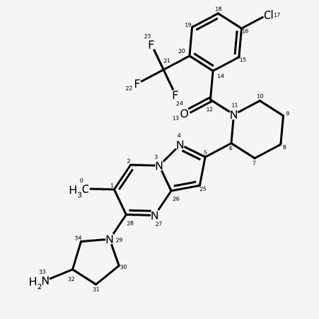 Cc1cn2nc(C3CCCCN3C(=O)c3cc(Cl)ccc3C(F)(F)F)cc2nc1N1CCC(N)C1